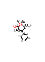 CCCCOC(=O)[AsH]C(CC(=O)O)c1ccccc1